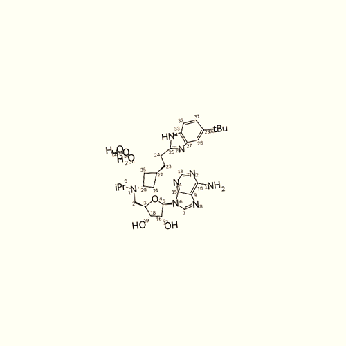 CC(C)N(C[C@H]1O[C@@H](n2cnc3c(N)ncnc32)[C@H](O)[C@@H]1O)[C@H]1C[C@H](CCc2nc3cc(C(C)(C)C)ccc3[nH]2)C1.O.O.O